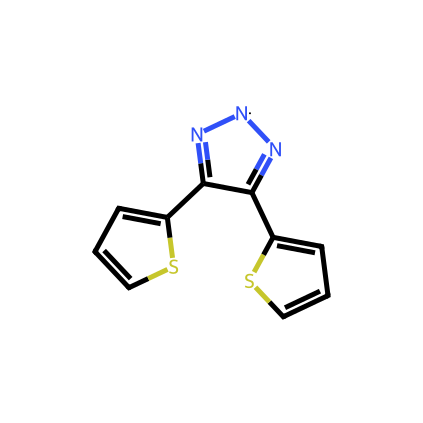 c1csc(C2=N[N]N=C2c2cccs2)c1